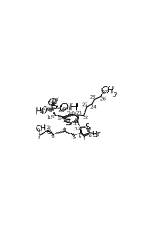 CCCCCCc1cc(Br)sc1-c1sc(CP(=O)(O)O)cc1CCCCCC